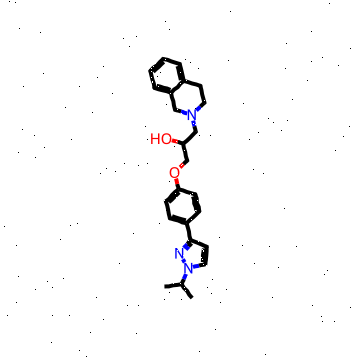 CC(C)n1ccc(-c2ccc(OCC(O)CN3CCc4ccccc4C3)cc2)n1